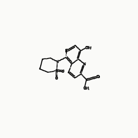 O=C(O)c1ccc2c(N3CCCCS3(=O)=O)ncc(O)c2n1